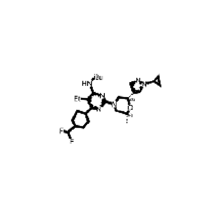 CCc1c(NC(C)CC)nc(N2C[C@@H](C)O[C@@H](c3cnn(C4CC4)c3)C2)nc1C1CCC(C(F)F)CC1